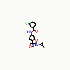 CC1CC1NC(=O)C1(c2ccc(NC(=O)c3cccc(Cl)c3)cc2)COC1